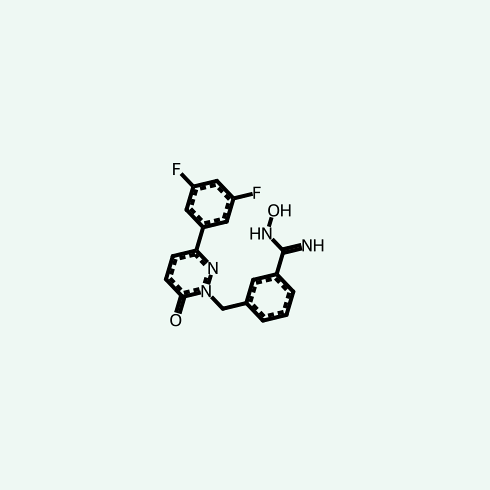 N=C(NO)c1cccc(Cn2nc(-c3cc(F)cc(F)c3)ccc2=O)c1